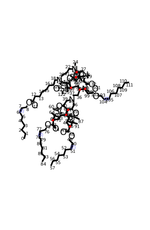 CCCCCC/C=C\COC(=O)CCCCCC(CN(CCCN(C)C(=O)CN(C)CC(=O)N(C)CCCN(CC(CCCCCC(=O)OC/C=C\CCCCCC)O[Si](C)(C)C(C)(C)C)CC(CCCCCC(=O)OC/C=C\CCCCCC)O[Si](C)(C)C(C)(C)C)CC(CCCCCC(=O)OC/C=C\CCCCCC)O[Si](C)(C)C(C)(C)C)O[Si](C)(C)C(C)(C)C